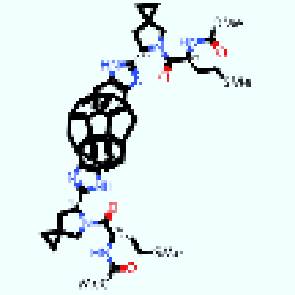 COC(=O)N[C@@H](CCSC)C(=O)N1CC2(CC2)C[C@H]1c1nc2cc(-c3cc4ccc3CCc3ccc(c(-c5ccc6[nH]c([C@@H]7CC8(CC8)CN7C(=O)[C@H](CCSC)NC(=O)OC)nc6c5)c3)CC4)ccc2[nH]1